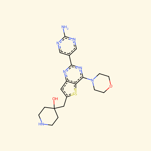 Nc1ncc(-c2nc(N3CCOCC3)c3sc(CC4(O)CCNCC4)cc3n2)cn1